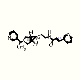 CC(c1cccnc1)N1C[C@@H]2[C@@H](CCNC(=O)/C=C/c3cccnc3)[C@@H]2C1